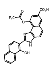 O=C(O)c1cc(OC(=O)C(F)(F)F)c2c(ccc3[nH]c(-c4ccc5ccccc5c4O)nc32)c1